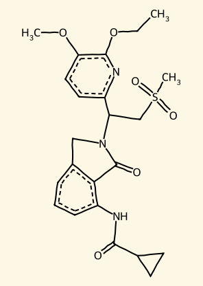 CCOc1nc(C(CS(C)(=O)=O)N2Cc3cccc(NC(=O)C4CC4)c3C2=O)ccc1OC